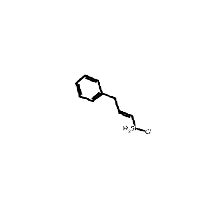 Cl[SiH2]C=CCc1ccccc1